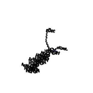 CCCCCCCCCCCCC/C=C/[C@@H](O)[C@H](CO[C@@H]1OC(CO)[C@@H](O[C@@H]2OC(CO)[C@H](O[C@@H]3OC(CO)[C@H](O)[C@H](O[C@@H]4OC(CO)[C@H](O)[C@H](O[C@@H]5OC(CO)[C@H](O)[C@H](O)C5NC(C)=O)C4O)C3NC(C)=O)[C@H](O)C2O)[C@H](O)C1O)NC(=O)CCCCCCCCCCCCCCCCCCCCCCCCC